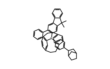 CC1(C)c2ccccc2-c2cc(-c3ccccc3)c(N(c3ccc(C4CC5CCC4C5)cc3)c3cc4ccc3CCc3ccc(cc3)CC4)cc21